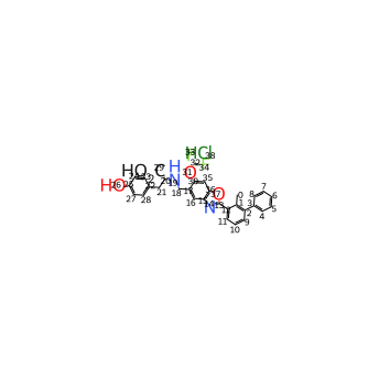 Cc1c(-c2ccccc2)cccc1-c1nc2cc(CN[C@@H](Cc3ccc(O)cc3)C(=O)O)c(OC(F)F)cc2o1.Cl